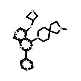 CN1CCC2(CCN(c3nc(-c4ccncc4)nc4cncc(OC5COC5)c34)CC2)C1